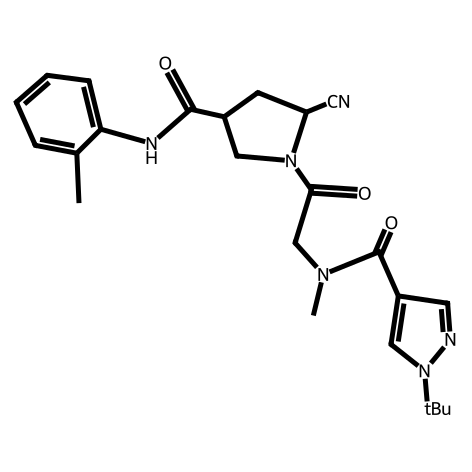 Cc1ccccc1NC(=O)C1CC(C#N)N(C(=O)CN(C)C(=O)c2cnn(C(C)(C)C)c2)C1